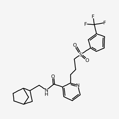 O=C(NCC1CC2CCC1C2)c1cccnc1CCCS(=O)(=O)c1cccc(C(F)(F)F)c1